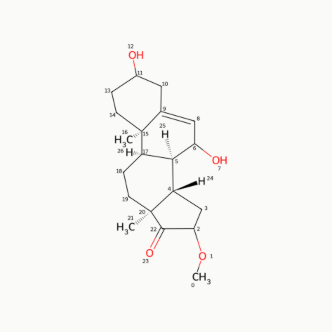 COC1C[C@H]2[C@@H]3C(O)C=C4CC(O)CC[C@]4(C)[C@@H]3CC[C@]2(C)C1=O